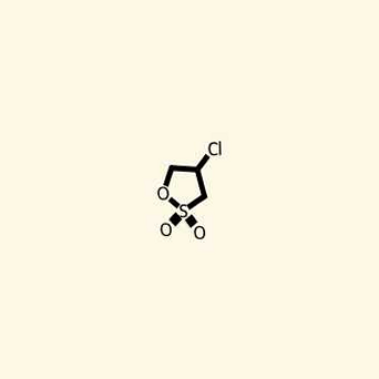 O=S1(=O)CC(Cl)CO1